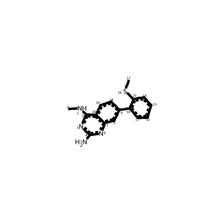 CNc1nc(N)nc2cc(-c3ccccc3SC)ccc12